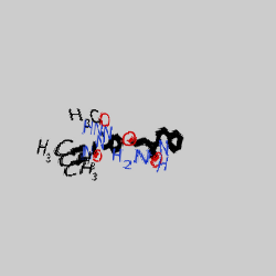 CCCN(CC(C)C)C(=O)CN1Cc2ccc(OCCC(C(N)=O)C3CCc4ccccc4N3)cc2N=C1NC(C)=O